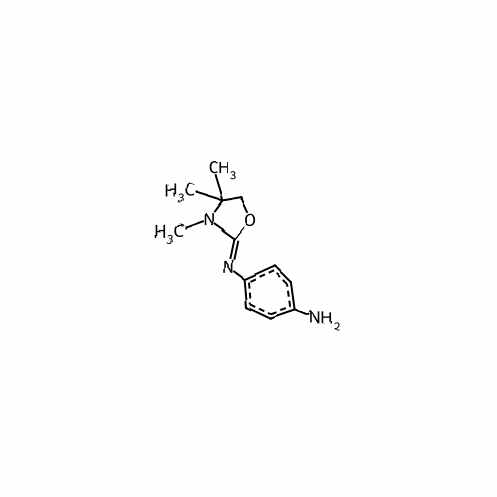 CN1C(=Nc2ccc(N)cc2)OCC1(C)C